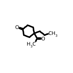 CCCC1(C(C)=O)CCC(=O)CC1